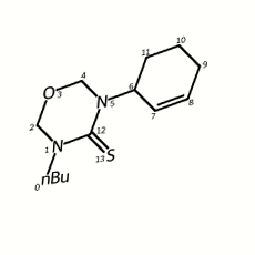 CCCCN1COCN(C2C=CCCC2)C1=S